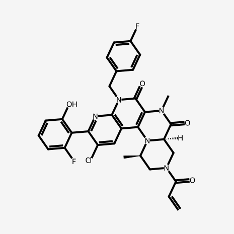 C=CC(=O)N1C[C@@H](C)N2c3c(c(=O)n(Cc4ccc(F)cc4)c4nc(-c5c(O)cccc5F)c(Cl)cc34)N(C)C(=O)[C@H]2C1